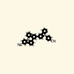 N#Cc1ccc(-n2c3ccccc3c3cc(-c4cccc(-c5cccc6c7cc(C#N)ccc7n(-c7ccccc7)c56)c4)ccc32)cc1